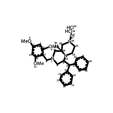 COc1cc(OC)c(CN2CC(C(c3ccccc3)c3ccccc3)N3CCN(C(C)=O)C[C@H]3C2)c(OC)c1.Cl.Cl